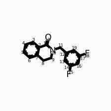 O=C1c2ccccc2CCN1Cc1cc(F)cc(F)c1